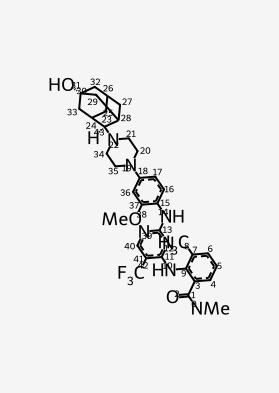 CNC(=O)c1cccc(C)c1Nc1nc(Nc2ccc(N3CCN([C@H]4C5CC6CC4C[C@](O)(C6)C5)CC3)cc2OC)ncc1C(F)(F)F